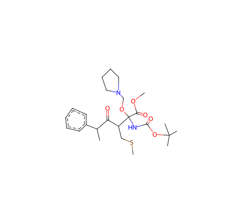 COC(=O)C(NC(=O)OC(C)(C)C)(OCN1CCCC1)C(CSC)C(=O)C(C)c1ccccc1